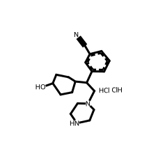 Cl.Cl.N#Cc1cccc(C(CN2CCNCC2)C2CCC(O)CC2)c1